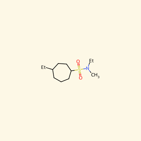 CCC1CCCC(S(=O)(=O)N(C)CC)CC1